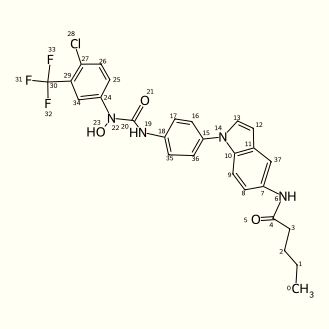 CCCCC(=O)Nc1ccc2c(ccn2-c2ccc(NC(=O)N(O)c3ccc(Cl)c(C(F)(F)F)c3)cc2)c1